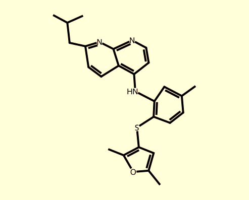 Cc1ccc(Sc2cc(C)oc2C)c(Nc2ccnc3nc(CC(C)C)ccc23)c1